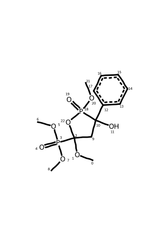 COC1(P(=O)(OC)OC)CC(O)(c2ccccc2)P(=O)(OC)O1